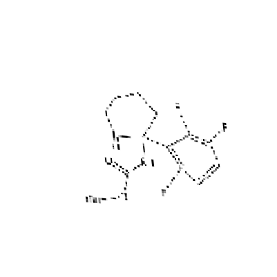 CC(C)(C)OC(=O)NC1(c2c(F)ccc(F)c2F)CCCCC1=O